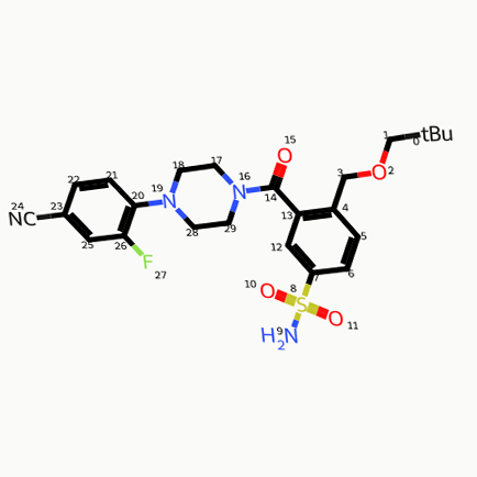 CC(C)(C)COCc1ccc(S(N)(=O)=O)cc1C(=O)N1CCN(c2ccc(C#N)cc2F)CC1